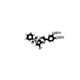 COc1ccc(-c2cnc3c(n2)c(Br)cn3S(=O)(=O)c2ccccc2)cc1OC